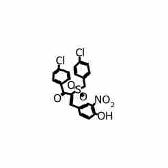 O=C(C(=Cc1ccc(O)c([N+](=O)[O-])c1)S(=O)(=O)Cc1ccc(Cl)cc1)c1ccc(Cl)cc1